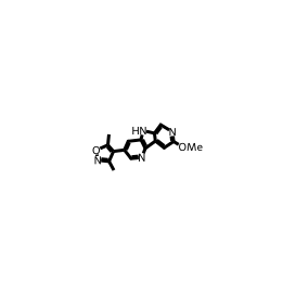 COc1cc2c(cn1)[nH]c1cc(-c3c(C)noc3C)cnc12